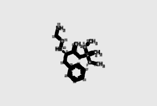 C=C(CP(=C)(OC)OC)[C@@H](BOCN)Cc1ccccc1